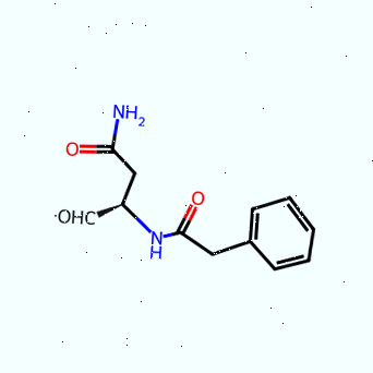 NC(=O)C[C@H]([C]=O)NC(=O)Cc1ccccc1